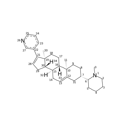 CN1CCCCC1[C@H]1CC[C@@]2(C)C(=CC[C@@H]3[C@@H]2CC[C@]2(C)C(c4cccnc4)=CC[C@@H]32)C1